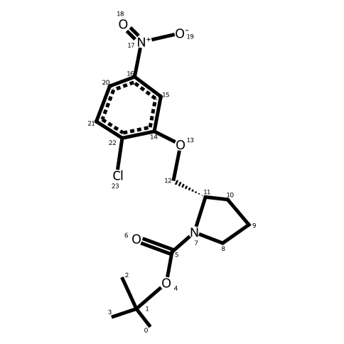 CC(C)(C)OC(=O)N1CCC[C@H]1COc1cc([N+](=O)[O-])ccc1Cl